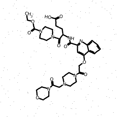 CCOC(=O)N1CCN(C(=O)C(CCC(=O)O)NC(=O)c2cc(OCC(=O)N3CCN(CC(=O)N4CCOCC4)CC3)c3ccccc3n2)CC1